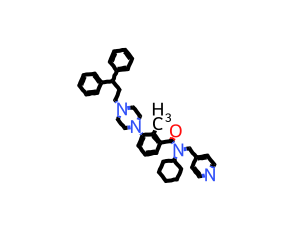 Cc1c(C(=O)N(Cc2ccncc2)C2CCCCC2)cccc1N1CCN(CCC(c2ccccc2)c2ccccc2)CC1